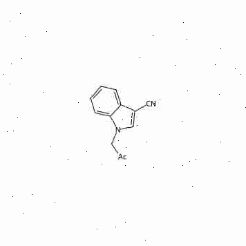 CC(=O)Cn1cc(C#N)c2ccccc21